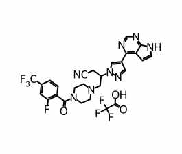 N#CCC(CN1CCN(C(=O)c2ccc(C(F)(F)F)cc2F)CC1)n1cc(-c2ncnc3[nH]ccc23)cn1.O=C(O)C(F)(F)F